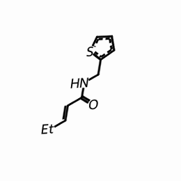 CCC=CC(=O)NCc1cccs1